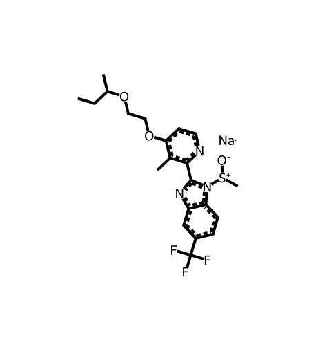 CCC(C)OCCOc1ccnc(-c2nc3cc(C(F)(F)F)ccc3n2[S+](C)[O-])c1C.[Na]